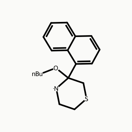 CCCCOC1(c2cccc3ccccc23)CSCC[N]1